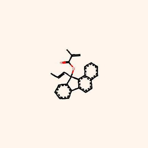 C=C(C)C(=O)OC1(/C=C/C)c2ccccc2-c2ccc3ccccc3c21